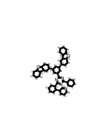 c1ccc(-c2nc(-c3cc(-c4ccc5oc6ccccc6c5c4)cc(-c4ccc5oc6ccccc6c5c4)c3)nc(-c3ccccc3-c3cccnc3)n2)cc1